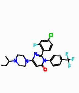 CCC(C)N1CCN(c2cc(=O)n(-c3ccc(C(F)(F)F)cc3)c(-c3ccc(Cl)cc3F)n2)CC1